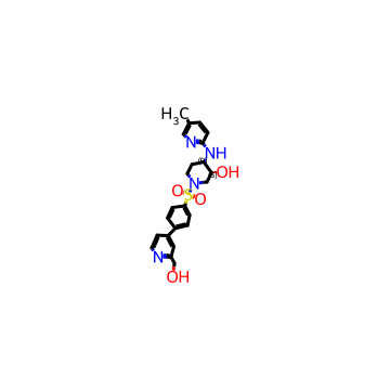 Cc1ccc(N[C@@H]2CCN(S(=O)(=O)c3ccc(-c4ccnc(CO)c4)cc3)C[C@@H]2O)nc1